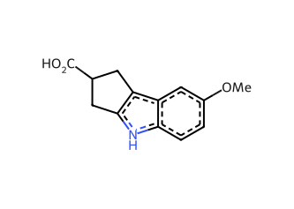 COc1ccc2[nH]c3c(c2c1)CC(C(=O)O)C3